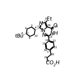 CCc1nc([C@H]2CC[C@@H](C(C)(C)C)CC2)n2nc(-c3ccc(CCC(=O)O)cc3)[nH]c(=O)c12